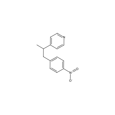 CC(Cc1ccc([N+](=O)[O-])cc1)c1ccncc1